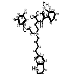 Cn1cc(NC(CCN(CCCCc2ccc3c(n2)NCCC3)CCOc2cc(F)cc(F)c2)C(=O)O)c2ccccc21